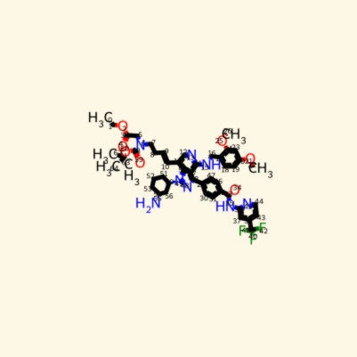 CCOC(=O)CN(CC/C=C/c1cnc(NCc2ccc(OC)cc2OC)c2c(-c3ccc(C(=O)Nc4cc(C(F)(F)F)ccn4)cc3)nn([C@@H]3CCC[C@@H](N)C3)c12)C(=O)OC(C)(C)C